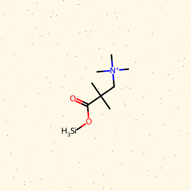 CC(C)(C[N+](C)(C)C)C(=O)O[SiH3]